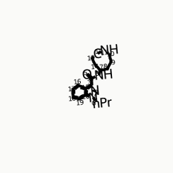 CCCn1nc(C(=O)NC2CCCNCCC2)c2ccccc21